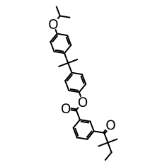 CCC(C)(C)C(=O)c1cccc(C(=O)Oc2ccc(C(C)(C)c3ccc(OC(C)C)cc3)cc2)c1